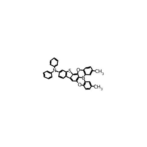 Cc1ccc2c(c1)B1c3cc(C)ccc3Oc3c1c(cc1c3sc3cc(N(c4ccccc4)c4ccccc4)ccc31)O2